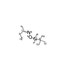 CC(CI)=NO[Si](C)(C)C(C)(C)C